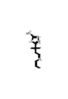 C/C=C\N=C/CC(C)(C)c1nnc(CCC)s1